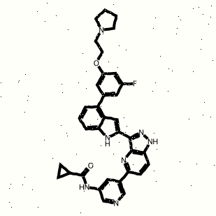 O=C(Nc1cncc(-c2ccc3[nH]nc(-c4cc5c(-c6cc(F)cc(OCCN7CCCC7)c6)cccc5[nH]4)c3n2)c1)C1CC1